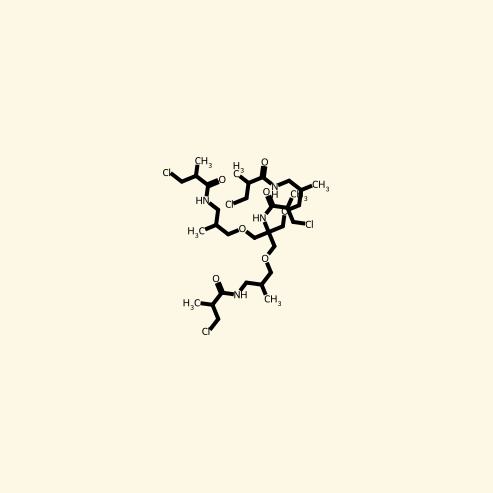 CC(CNC(=O)C(C)CCl)COCC(COCC(C)CNC(=O)C(C)CCl)(COCC(C)CNC(=O)C(C)CCl)NC(=O)C(C)CCl